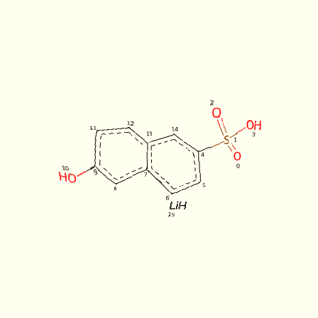 O=S(=O)(O)c1ccc2cc(O)ccc2c1.[LiH]